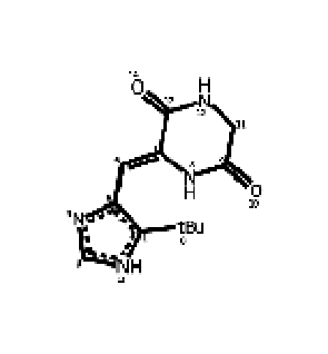 CC(C)(C)c1[nH]cnc1C=C1NC(=O)CNC1=O